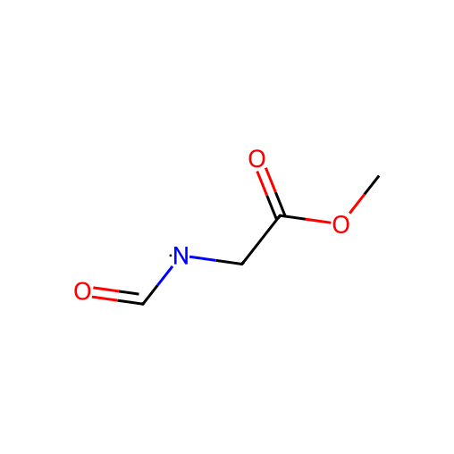 COC(=O)C[N]C=O